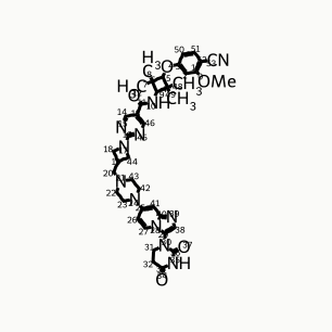 COc1cc(OC2C(C)(C)C(NC(=O)c3cnc(N4CC(CN5CCN(c6ccn7c(N8CCC(=O)NC8=O)cnc7c6)CC5)C4)nc3)C2(C)C)ccc1C#N